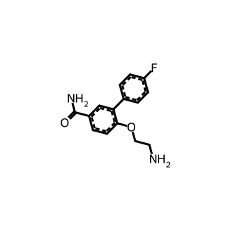 NCCOc1ccc(C(N)=O)cc1-c1ccc(F)cc1